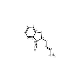 CC=CCC1Cc2ccccc2C1=O